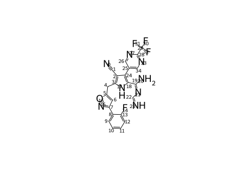 N#Cc1c(Cc2cc(-c3ccccc3F)no2)[nH]c(/C(N)=N\C=N)c1-c1cnc(C(F)(F)F)nc1